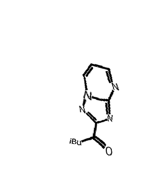 CCC(C)C(=O)c1nc2ncccn2n1